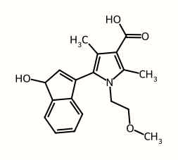 COCCn1c(C)c(C(=O)O)c(C)c1C1=CC(O)c2ccccc21